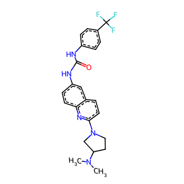 CN(C)C1CCN(c2ccc3cc(NC(=O)Nc4ccc(C(F)(F)F)cc4)ccc3n2)C1